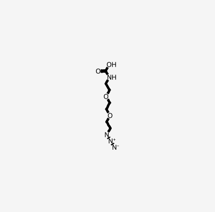 [N-]=[N+]=NCCOCCOCCNC(=O)O